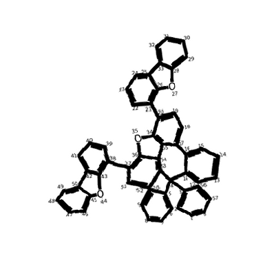 c1ccc(C2(c3ccccc3)c3ccccc3-c3ccc(-c4cccc5c4oc4ccccc45)c4oc5c(-c6cccc7c6oc6ccccc67)ccc2c5c34)cc1